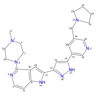 CN1CCN(c2nccc3[nH]c(-c4cc(-c5cncc(CN6CCCC6)c5)[nH]n4)cc23)CC1